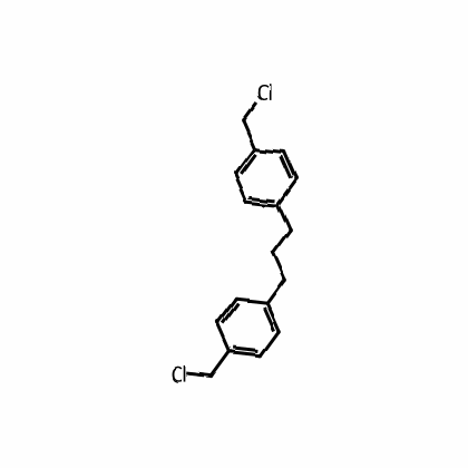 ClCc1ccc(CCCc2ccc(CCl)cc2)cc1